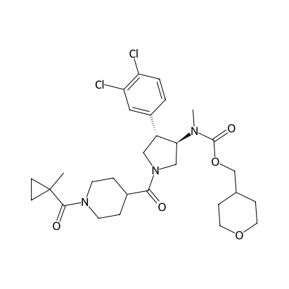 CN(C(=O)OCC1CCOCC1)[C@H]1CN(C(=O)C2CCN(C(=O)C3(C)CC3)CC2)C[C@@H]1c1ccc(Cl)c(Cl)c1